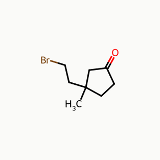 CC1(CCBr)CCC(=O)C1